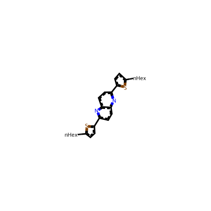 CCCCCCc1ccc(-c2ccc3nc(-c4ccc(CCCCCC)s4)ccc3n2)s1